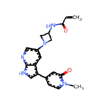 C=CC(=O)NC1CN(c2cnc3[nH]cc(-c4ccn(C)c(=O)c4)c3c2)C1